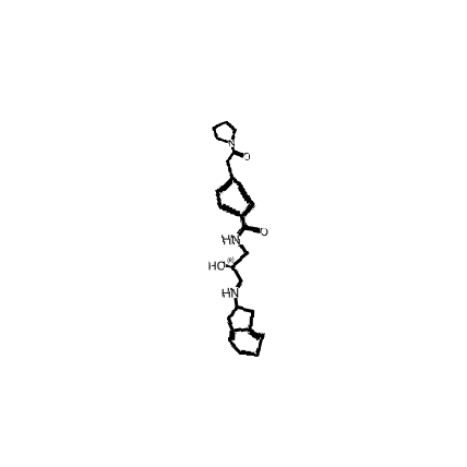 O=C(NC[C@H](O)CNC1Cc2ccccc2C1)c1ccc(CC(=O)N2CCCC2)cc1